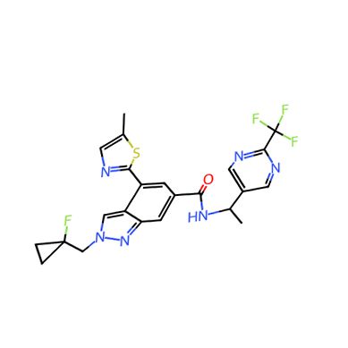 Cc1cnc(-c2cc(C(=O)NC(C)c3cnc(C(F)(F)F)nc3)cc3nn(CC4(F)CC4)cc23)s1